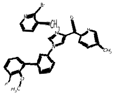 COc1c(F)cccc1-c1cccc(-n2cnc(C(=O)c3ccc(C)cn3)c2)c1.Cc1cccnc1Br